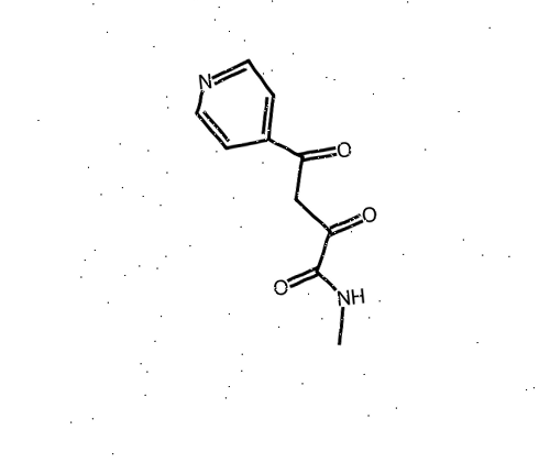 CNC(=O)C(=O)CC(=O)c1ccncc1